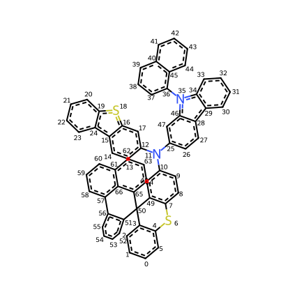 c1ccc2c(c1)Sc1ccc(N(c3ccc4c(c3)sc3ccccc34)c3ccc4c5ccccc5n(-c5cccc6ccccc56)c4c3)cc1C21c2ccccc2-c2cccc3cccc1c23